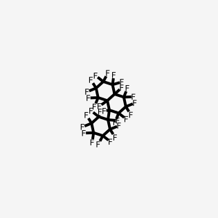 FC1(F)C(F)(F)C(F)(F)C(F)(C2(F)C(F)(F)C(F)(F)C(F)(F)C3(F)C(F)(F)C(F)(F)C(F)(F)C(F)(F)C32F)C(F)(F)C1(F)F